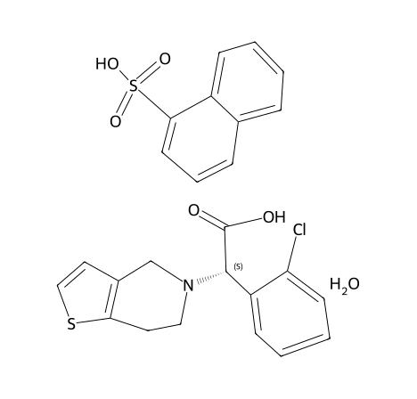 O.O=C(O)[C@H](c1ccccc1Cl)N1CCc2sccc2C1.O=S(=O)(O)c1cccc2ccccc12